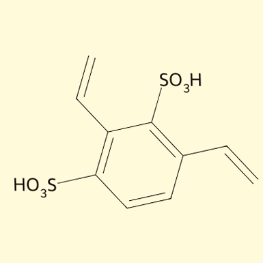 C=Cc1ccc(S(=O)(=O)O)c(C=C)c1S(=O)(=O)O